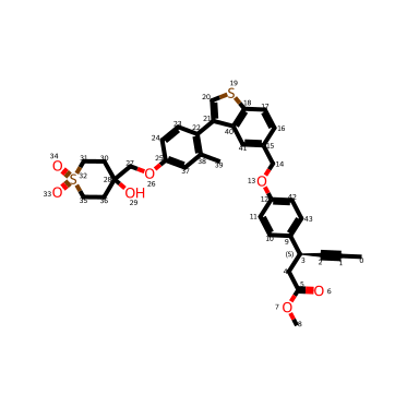 CC#C[C@@H](CC(=O)OC)c1ccc(OCc2ccc3scc(-c4ccc(OCC5(O)CCS(=O)(=O)CC5)cc4C)c3c2)cc1